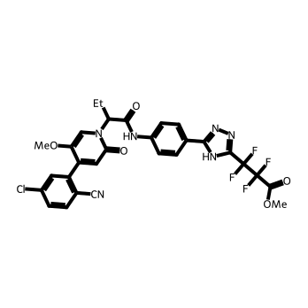 CCC(C(=O)Nc1ccc(-c2nnc(C(F)(F)C(F)(F)C(=O)OC)[nH]2)cc1)n1cc(OC)c(-c2cc(Cl)ccc2C#N)cc1=O